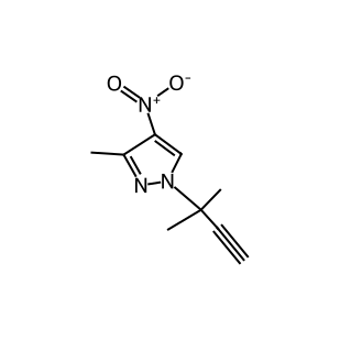 C#CC(C)(C)n1cc([N+](=O)[O-])c(C)n1